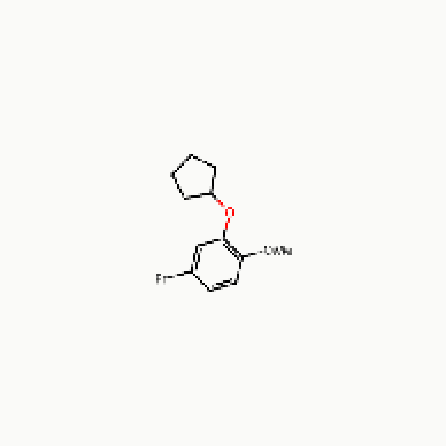 COc1ccc(C(C)C)cc1OC1CCCC1